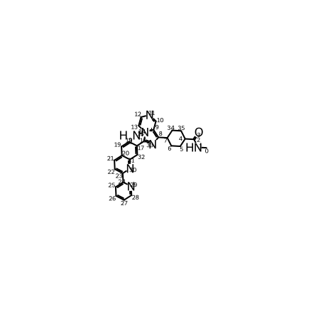 CNC(=O)C1CCC(C2=C3C=NC=C[N+]3(N)C(c3ccc4ccc(-c5ccccn5)nc4c3)=N2)CC1